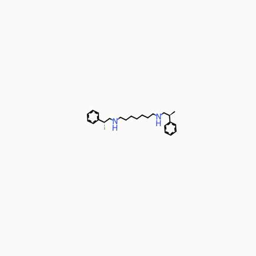 C[C@H](CNCCCCCCCNC[C@H](C)c1ccccc1)c1ccccc1